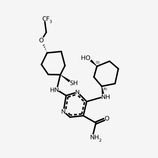 NC(=O)c1cnc(N[C@]2(S)CC[C@H](OCC(F)(F)F)CC2)nc1N[C@@H]1CCC[C@H](O)C1